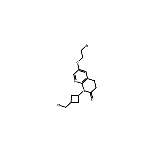 O=C1CCc2cc(OCCBr)cnc2N1C1CC(CO)C1